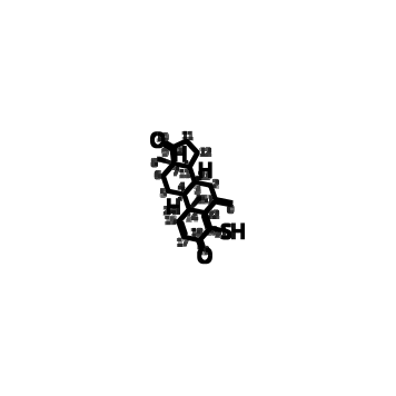 C=C1C[C@@H]2[C@H](CC[C@]3(C)C(=O)CC[C@@H]23)[C@@]2(C)C=CC(=O)C(S)=C12